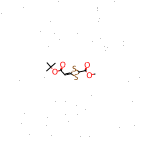 COC(=O)C1SC(=CC(=O)OC(C)(C)C)S1